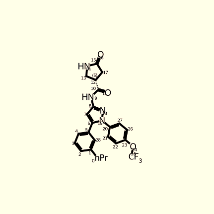 CCCc1cccc(-c2cc(NC(=O)[C@@H]3CNC(=O)C3)nn2-c2ccc(OC(F)(F)F)cc2)c1